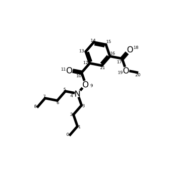 CCCCN(CCCC)OC(=O)c1cccc(C(=O)OC)c1